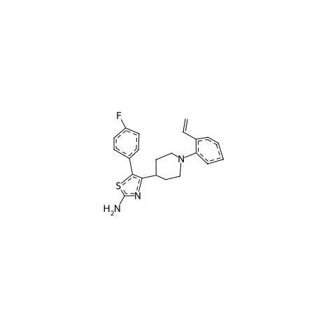 C=Cc1ccccc1N1CCC(c2nc(N)sc2-c2ccc(F)cc2)CC1